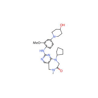 COc1cc(N2CCC(O)CC2)ccc1Nc1ncc2c(n1)N(C1CCCC1)CC(=O)N(C)C2